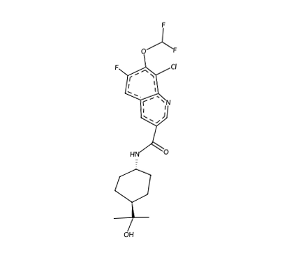 CC(C)(O)[C@H]1CC[C@H](NC(=O)c2cnc3c(Cl)c(OC(F)F)c(F)cc3c2)CC1